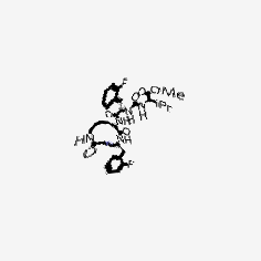 COC(=O)C(NC(=O)N[C@@H](Cc1ccccc1F)C(=O)N[C@H]1CCCCNC(=O)/C=C/[C@H](Cc2ccccc2F)NC1=O)C(C)C